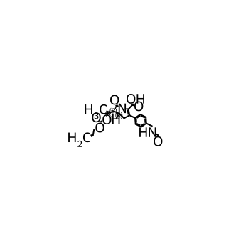 C=CCOC(=O)O[C@H](C)[C@H]1C(=O)N2C(C(=O)O)=C(c3ccc(CNC=O)cc3)C[C@H]12